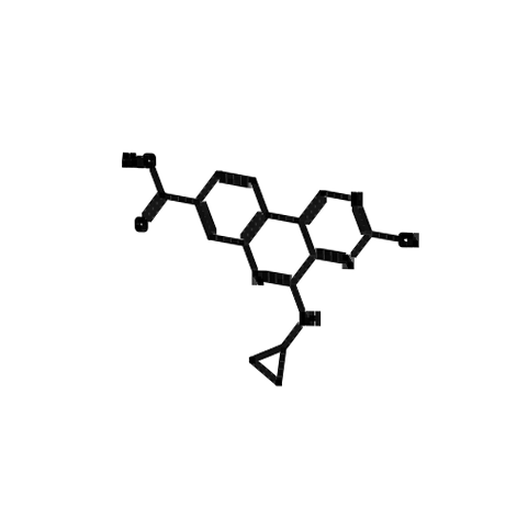 COC(=O)c1ccc2c(c1)nc(NC1CC1)c1nc(C#N)ncc12